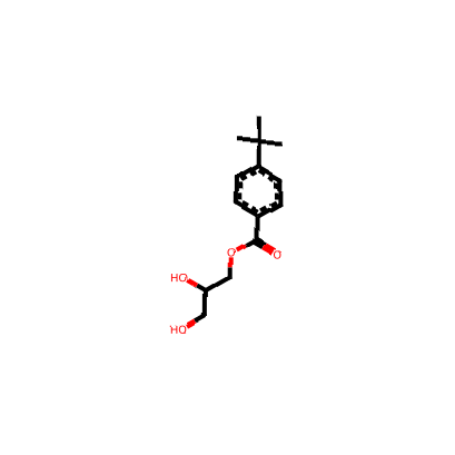 CC(C)(C)c1ccc(C(=O)OCC(O)CO)cc1